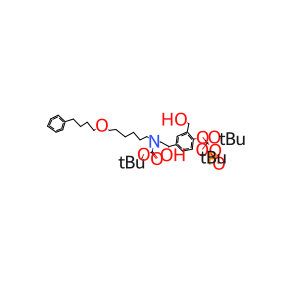 CC(C)(C)OC(=O)N(CCCCCCOCCCCc1ccccc1)CC(O)c1ccc(OC(OP=O)(OC(C)(C)C)OC(C)(C)C)c(CO)c1